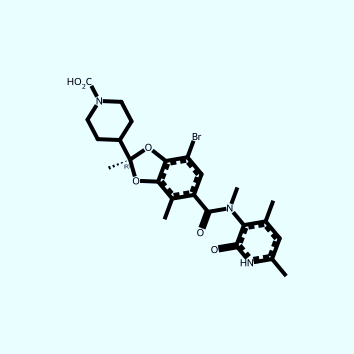 Cc1cc(C)c(N(C)C(=O)c2cc(Br)c3c(c2C)O[C@@](C)(C2CCN(C(=O)O)CC2)O3)c(=O)[nH]1